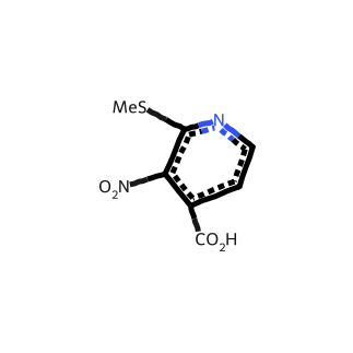 CSc1nccc(C(=O)O)c1[N+](=O)[O-]